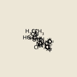 CC1(C)OC2C(O1)[C@@H](CO)O[C@H]2n1cnc2c(N3CC4(CCCC4)c4cc(F)ccc43)nc(Cl)nc21